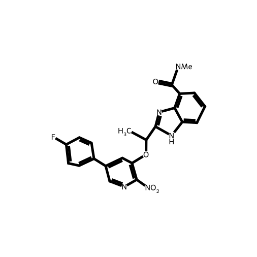 CNC(=O)c1cccc2[nH]c(C(C)Oc3cc(-c4ccc(F)cc4)cnc3[N+](=O)[O-])nc12